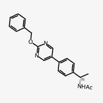 CC(=O)N[C@@H](C)c1ccc(-c2cnc(OCc3ccccc3)nc2)cc1